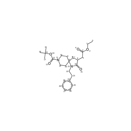 CCOC(=O)CC1SC2(CCN(C(=O)OC(C)(C)C)CC2)N(CCc2ccccc2)C1=O